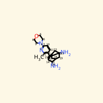 Cc1nc(N2CCOCC2)ccc1C1C2CC3CC(CC1(N)C3)C2N